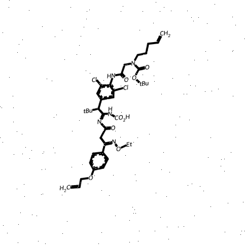 C=CCCCN(CC(=O)Nc1c(Cl)cc(C(C(=NC(=O)CC(=NOCC)c2ccc(OCC=C)cc2)NC(=O)O)C(C)(C)C)cc1Cl)C(=O)OC(C)(C)C